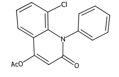 CC(=O)Oc1cc(=O)n(-c2ccccc2)c2c(Cl)cccc12